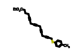 CCOC(=O)CCCC#CCC#CCC#CCC#CCSc1ccc(C)cc1